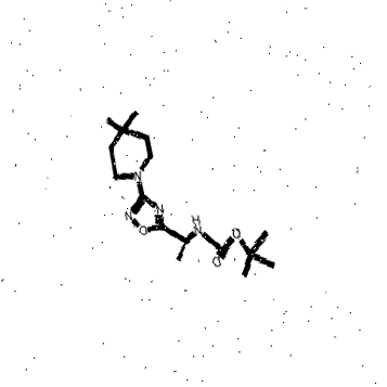 C[C@H](NC(=O)OC(C)(C)C)c1nc(N2CCC(C)(C)CC2)no1